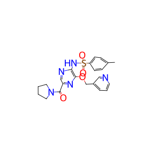 Cc1ccc(S(=O)(=O)Nc2ncc(C(=O)N3CCCC3)nc2OCc2cccnc2)cc1